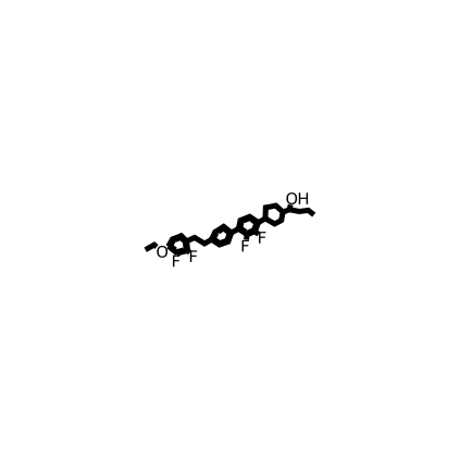 CCCC(O)C1CCC(c2ccc(-c3ccc(CCc4ccc(OCC)c(F)c4F)cc3)c(F)c2F)CC1